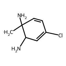 [CH2]C1(N)C=CC(Cl)=CC1N